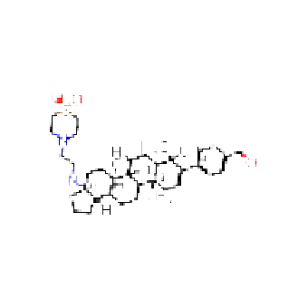 CC1(C)C(C2=CC=C(C=O)CC2)=CCC2(C)C1CCC1(C)C2CCC2[C@H]3CCC[C@]3(NCCN3CCS(=O)(=O)CC3)CC[C@]21C